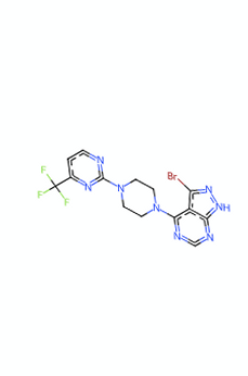 FC(F)(F)c1ccnc(N2CCN(c3ncnc4[nH]nc(Br)c34)CC2)n1